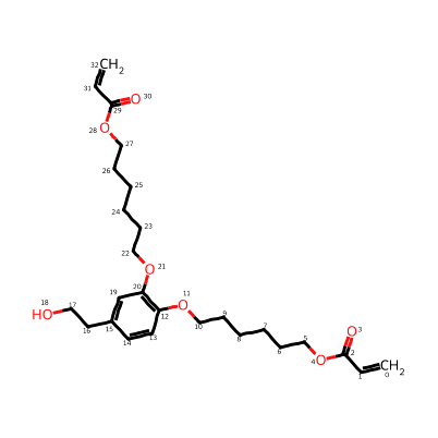 C=CC(=O)OCCCCCCOc1ccc(CCO)cc1OCCCCCCOC(=O)C=C